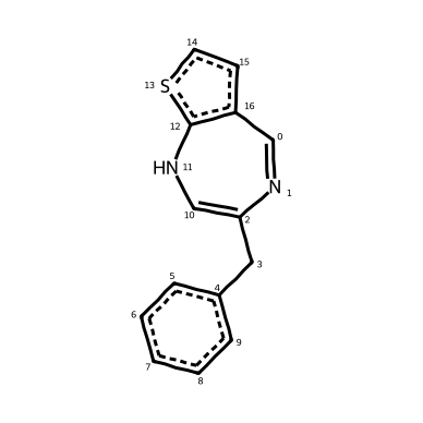 C1=NC(Cc2ccccc2)=CNc2sccc21